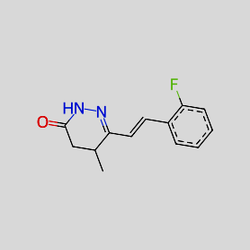 CC1CC(=O)NN=C1C=Cc1ccccc1F